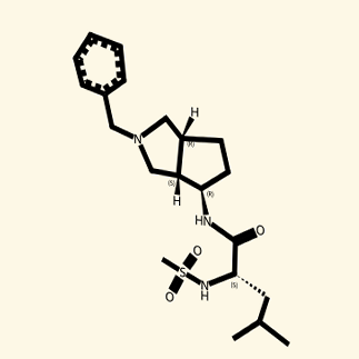 CC(C)C[C@H](NS(C)(=O)=O)C(=O)N[C@@H]1CC[C@H]2CN(Cc3ccccc3)C[C@H]21